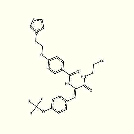 O=C(NCCO)/C(=C/c1ccc(OC(F)(F)F)cc1)NC(=O)c1ccc(OCCn2cccc2)cc1